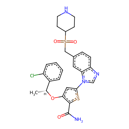 C[C@@H](Oc1cc(-n2cnc3ccc(CS(=O)(=O)C4CCNCC4)cc32)sc1C(N)=O)c1ccccc1Cl